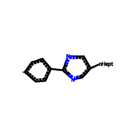 CCCCCCCc1cnc(-c2cc[c]cc2)nc1